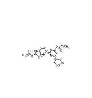 CC[S+]([O-])Cc1cc(N2CCOCC2)nc(-c2ccc3[nH]c(CNC)cc3n2)n1